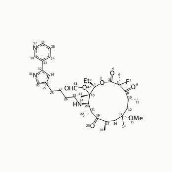 CC[C@H]1OC(=O)[C@@](C)(F)C(=O)[C@H](C)C[C@](C)(OC)C[C@@H](C)C(=O)[C@H](C)[C@@H](NCCCCn2cnc(-c3cccnc3)c2)[C@]1(C)OC=O